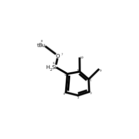 Cc1cccc([SiH2]OC(C)(C)C)c1C